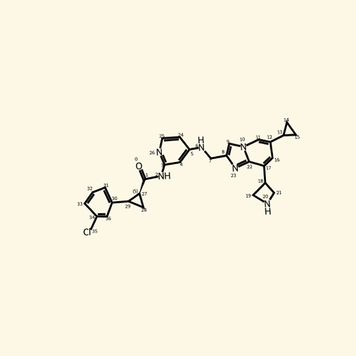 O=C(Nc1cc(NCc2cn3cc(C4CC4)cc(C4CNC4)c3n2)ccn1)[C@H]1CC1c1cccc(Cl)c1